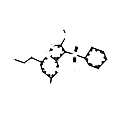 CSc1nn2c(CCN)cc(C)nc2c1S(=O)(=O)c1ccccc1